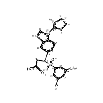 O=C(O)CN(c1ccc2c(c1)ncn2-c1ncccn1)S(=O)(=O)c1cc(Cl)cc(Cl)c1